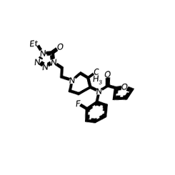 CCn1nnn(CCN2CCC(N(C(=O)c3ccco3)c3ccccc3F)C(C)C2)c1=O